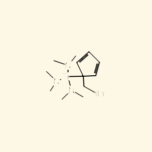 CC(C)C[C]1([Ti]([N](C)C)([N](C)C)[N](C)C)C=CC=C1